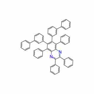 c1ccc(-c2cccc(-c3c(-c4cccc(-c5ccccc5)c4)c(-c4ccccc4)c4nc(-c5ccccc5)c(-c5ccccc5)nc4c3-c3ccccc3)c2)cc1